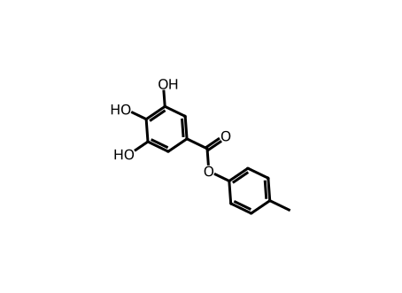 Cc1ccc(OC(=O)c2cc(O)c(O)c(O)c2)cc1